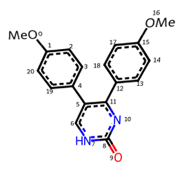 COc1ccc(-c2c[nH]c(=O)nc2-c2ccc(OC)cc2)cc1